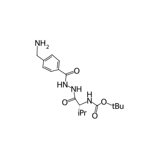 CC(C)[C@@H](NC(=O)OC(C)(C)C)C(=O)NNC(=O)c1ccc(CN)cc1